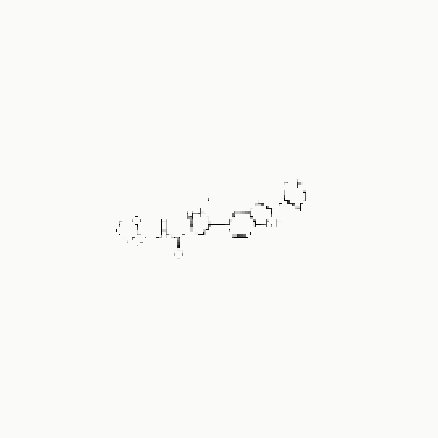 Cc1noc(-c2cc3cc(-c4cc(C(=O)NC[C@@H]5CCCO5)nn4C)ccc3[nH]2)n1